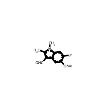 COc1cc2c(C=O)c(C)n(C)c2cc1Br